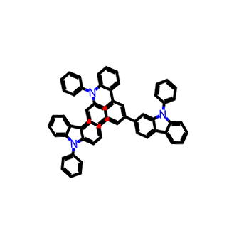 c1ccc(N(c2ccccc2)c2ccccc2-c2cc(-c3ccc4c(c3)c3ccccc3n4-c3ccccc3)cc(-c3ccc4c5ccccc5n(-c5ccccc5)c4c3)c2)cc1